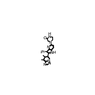 Cc1c(-c2[nH]c3ccc(N4CCNC(=O)C4)nc3c2C(C)C)cn2ncnc2c1C